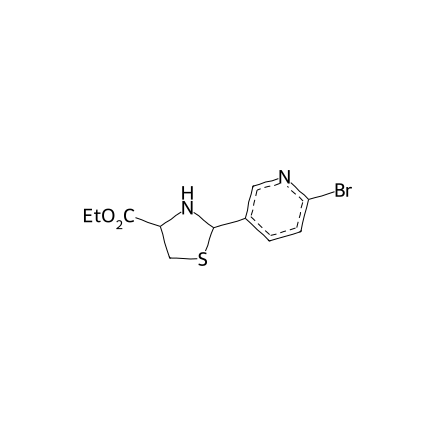 CCOC(=O)C1CSC(c2ccc(Br)nc2)N1